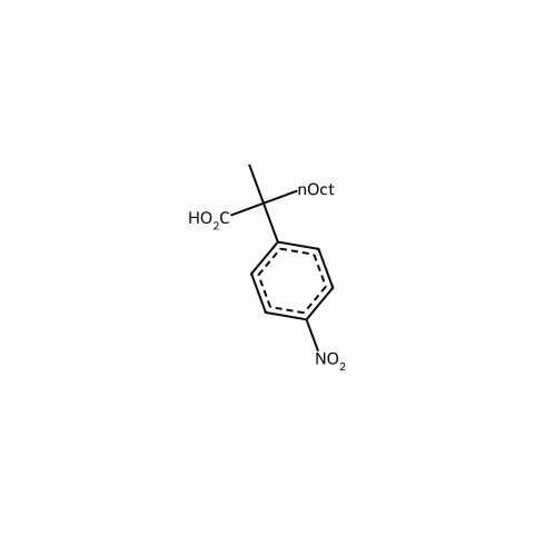 CCCCCCCCC(C)(C(=O)O)c1ccc([N+](=O)[O-])cc1